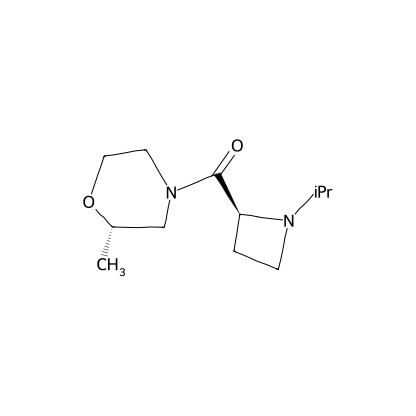 CC(C)N1CC[C@H]1C(=O)N1CCO[C@@H](C)C1